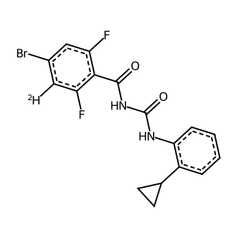 [2H]c1c(Br)cc(F)c(C(=O)NC(=O)Nc2ccccc2C2CC2)c1F